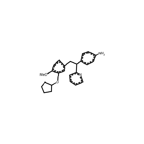 COc1ccc(CC(c2ccc(N)cc2)c2ccccn2)cc1OC1CCCC1